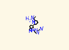 CC(N)c1cccc(-c2ccc3cnn(-c4ccnc(C#N)n4)c3c2)n1